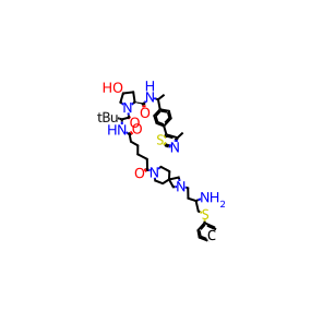 Cc1ncsc1-c1ccc(C(C)NC(=O)[C@@H]2C[C@@H](O)CN2C(=O)C(NC(=O)CCCCC(=O)N2CCC3(CC2)CN(CCC(N)CSc2ccccc2)C3)C(C)(C)C)cc1